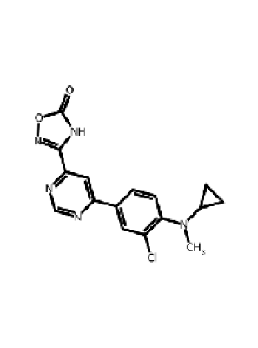 CN(c1ccc(-c2cc(-c3noc(=O)[nH]3)ncn2)cc1Cl)C1CC1